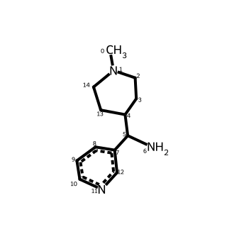 CN1CCC(C(N)c2cccnc2)CC1